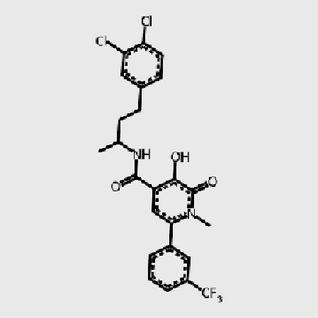 CC(CCc1ccc(Cl)c(Cl)c1)NC(=O)c1cc(-c2cccc(C(F)(F)F)c2)n(C)c(=O)c1O